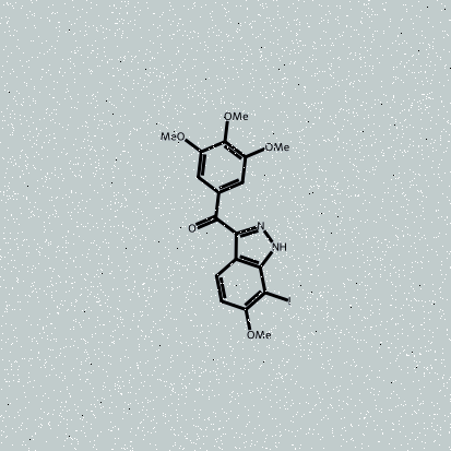 COc1cc(C(=O)c2n[nH]c3c(I)c(OC)ccc23)cc(OC)c1OC